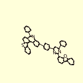 c1ccc(-c2cc(-c3ccc(-c4ccc5c(c4)nc(-c4ccccc4)c4ccc6sc7ccccc7c6c45)cc3)nc(-c3cccc4c3oc3ccccc34)n2)cc1